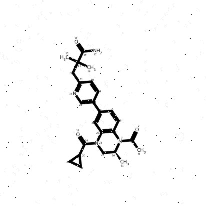 CC(=O)N1c2ccc(-c3ccc(CC(C)(C)C(N)=O)nc3)cc2N(C(=O)C2CC2)C[C@@H]1C